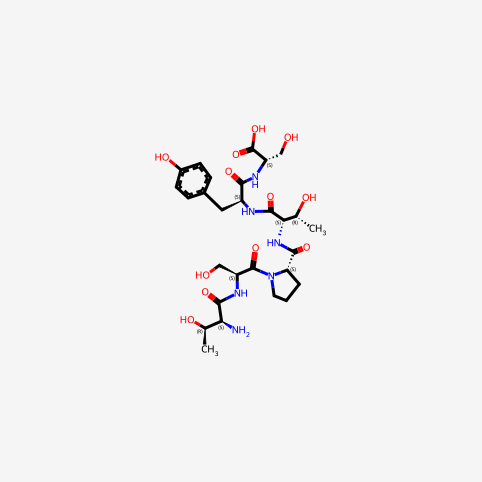 C[C@@H](O)[C@H](N)C(=O)N[C@@H](CO)C(=O)N1CCC[C@H]1C(=O)N[C@H](C(=O)N[C@@H](Cc1ccc(O)cc1)C(=O)N[C@@H](CO)C(=O)O)[C@@H](C)O